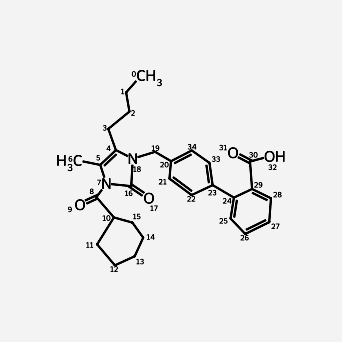 CCCCc1c(C)n(C(=O)C2CCCCC2)c(=O)n1Cc1ccc(-c2ccccc2C(=O)O)cc1